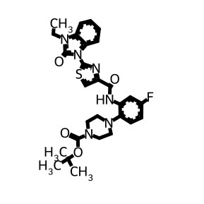 CCn1c(=O)n(-c2nc(C(=O)Nc3cc(F)ccc3N3CCN(C(=O)OC(C)(C)C)CC3)cs2)c2ccccc21